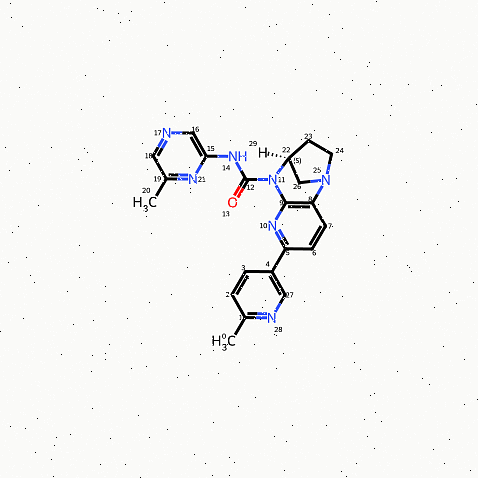 Cc1ccc(-c2ccc3c(n2)N(C(=O)Nc2cncc(C)n2)[C@H]2CCN3C2)cn1